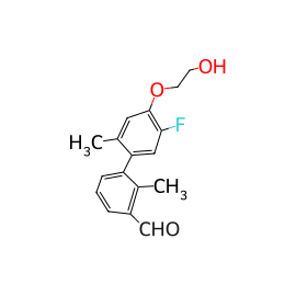 Cc1cc(OCCO)c(F)cc1-c1cccc(C=O)c1C